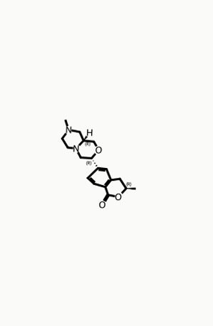 C[C@@H]1Cc2cc([C@@H]3CN4CCN(C)C[C@@H]4CO3)ccc2C(=O)O1